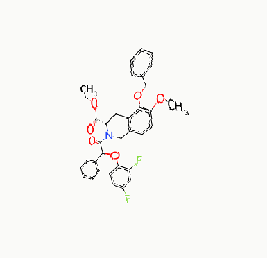 CCOC(=O)[C@@H]1Cc2c(ccc(OC)c2OCc2ccccc2)CN1C(=O)[C@@H](Oc1ccc(F)cc1F)c1ccccc1